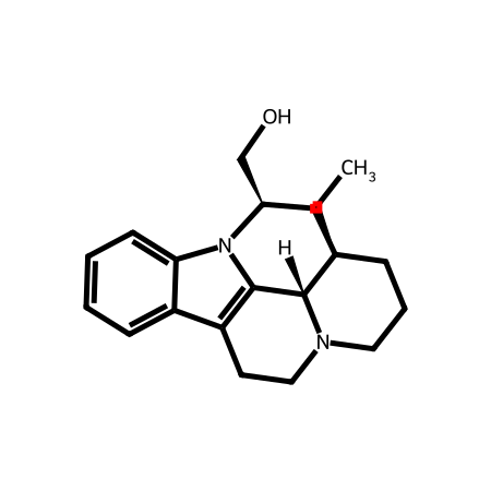 CC[C@]12CCCN3CCc4c(n(c5ccccc45)[C@@H](CO)C1)[C@@H]32